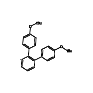 CC(C)(C)Oc1ccc(-c2[c]cccc2-c2ccc(OC(C)(C)C)cc2)cc1